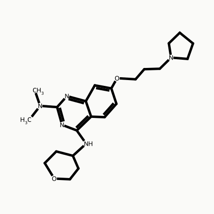 CN(C)c1nc(NC2CCOCC2)c2ccc(OCCCN3CCCC3)cc2n1